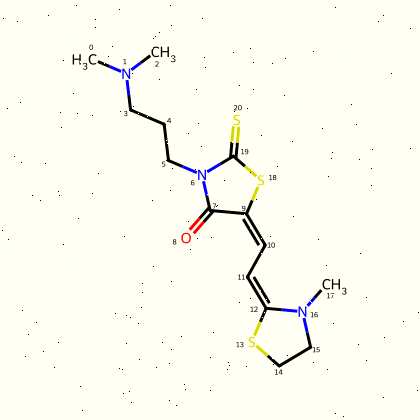 CN(C)CCCN1C(=O)/C(=C\C=C2\SCCN2C)SC1=S